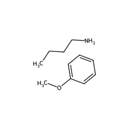 CCCCN.COc1ccccc1